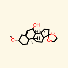 CO[C@H]1CC[C@@]2(C)C(=CC(O)[C@@H]3[C@@H]2CC[C@@]2(C)[C@H]3CCC23OCCO3)C1